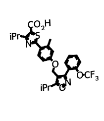 Cc1cc(OCc2c(-c3ccccc3OC(F)(F)F)noc2C(C)C)ccc1-c1nc(C(C)C)c(C(=O)O)s1